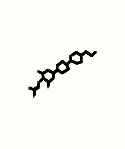 CCCC1CCC(C2CCC(C3CC(F)C(OC=C(F)F)C(F)C3)CC2)OC1